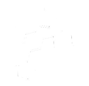 COC(=O)C1(c2cc(Cl)cc(C3OCCO3)c2)CCOCC1